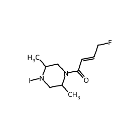 CC1CN(C(=O)/C=C/CF)C(C)CN1I